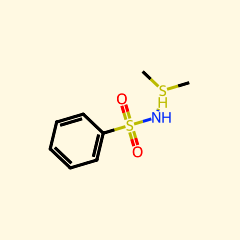 C[SH](C)NS(=O)(=O)c1ccccc1